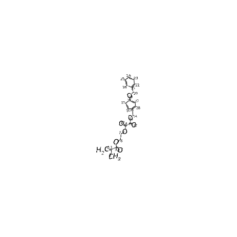 C=C(C)C(=O)OCCOC(=O)C(=O)OCc1ccc(OCc2ccccc2)cc1